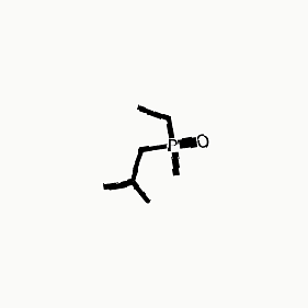 CCP(C)(=O)CC(C)C